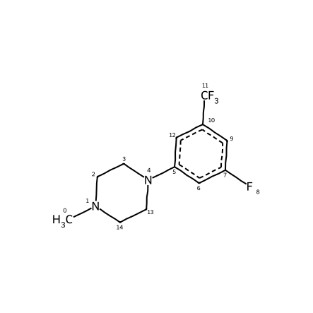 CN1CCN(c2cc(F)cc(C(F)(F)F)c2)CC1